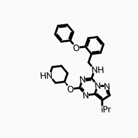 CC(C)c1cnn2c(NCc3ccccc3Oc3ccccc3)nc(O[C@@H]3CCCNC3)nc12